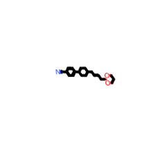 N#Cc1ccc(C2CCC(CC=CCC3OCCCO3)CC2)cc1